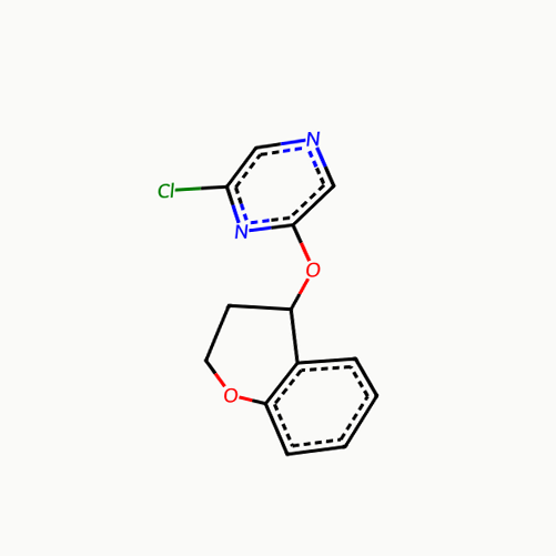 Clc1cncc(OC2CCOc3ccccc32)n1